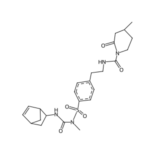 CC1CCN(C(=O)NCCc2ccc(S(=O)(=O)N(C)C(=O)NC3CC4C=CC3C4)cc2)C(=O)C1